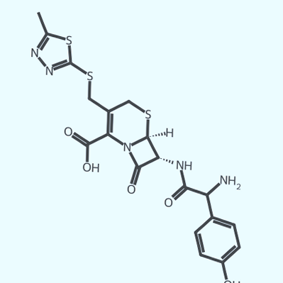 Cc1nnc(SCC2=C(C(=O)O)N3C(=O)[C@@H](NC(=O)C(N)c4ccc(O)cc4)[C@@H]3SC2)s1